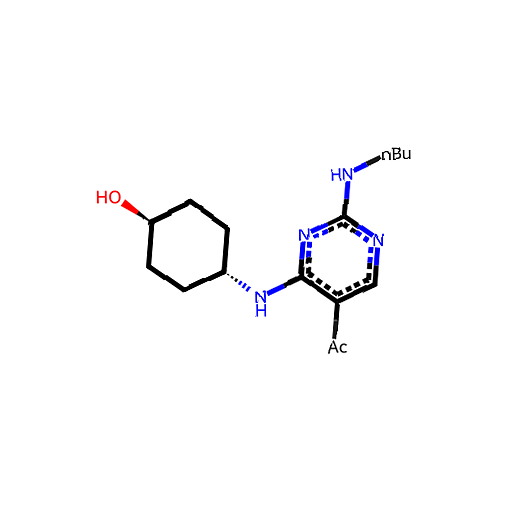 CCCCNc1ncc(C(C)=O)c(N[C@H]2CC[C@H](O)CC2)n1